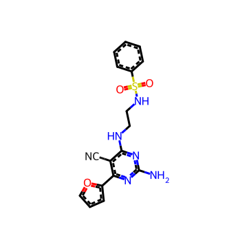 N#Cc1c(NCCNS(=O)(=O)c2ccccc2)nc(N)nc1-c1ccco1